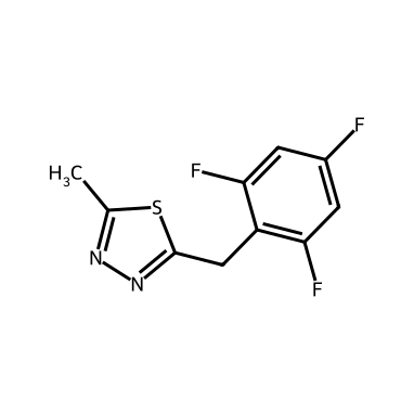 Cc1nnc(Cc2c(F)cc(F)cc2F)s1